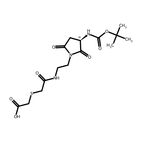 CC(C)(C)OC(=O)N[C@@H]1CC(=O)N(CCNC(=O)CSCC(=O)O)C1=O